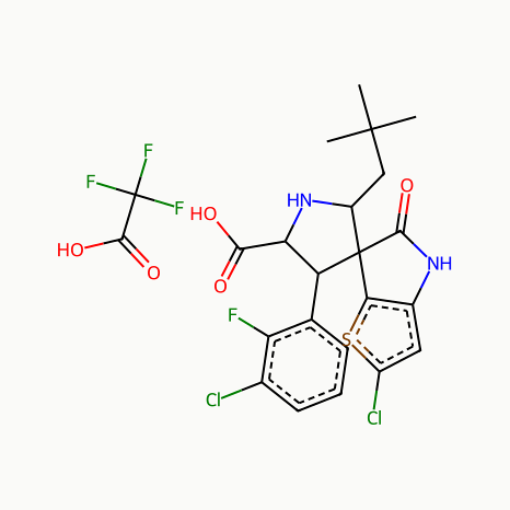 CC(C)(C)CC1NC(C(=O)O)C(c2cccc(Cl)c2F)C12C(=O)Nc1cc(Cl)sc12.O=C(O)C(F)(F)F